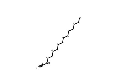 CCCCCCCCCCCCCNC#N